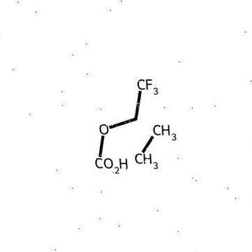 CC.O=C(O)OCC(F)(F)F